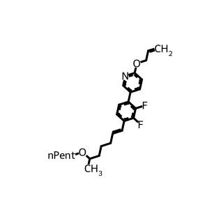 C=CCOc1ccc(-c2ccc(C=CCCCC(C)OCCCCC)c(F)c2F)cn1